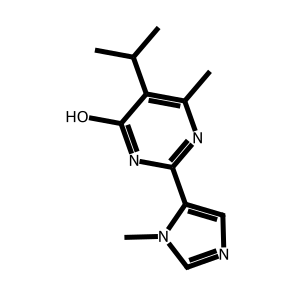 Cc1nc(-c2cncn2C)nc(O)c1C(C)C